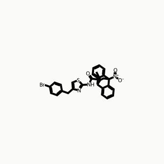 CC1(C(=O)Nc2nc(Cc3ccc(Br)cc3)cs2)CC2([N+](=O)[O-])c3ccccc3C1c1ccccc12